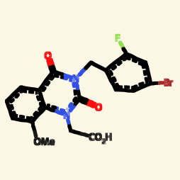 COc1cccc2c(=O)n(Cc3ccc(Br)cc3F)c(=O)n(CC(=O)O)c12